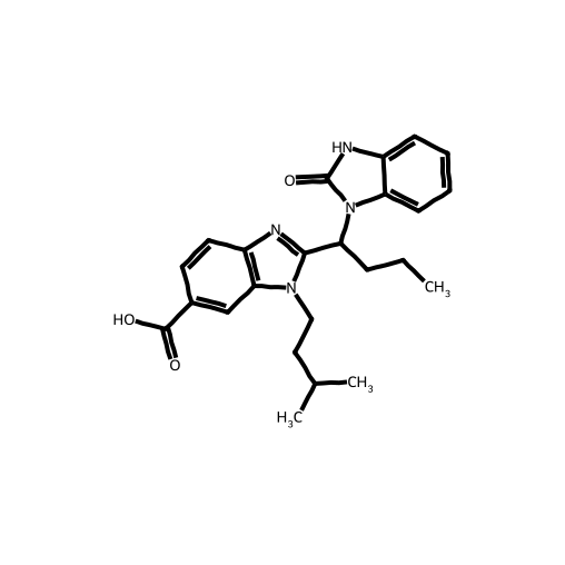 CCCC(c1nc2ccc(C(=O)O)cc2n1CCC(C)C)n1c(=O)[nH]c2ccccc21